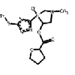 CCCSc1nnc([N+]2([O-])CN(C)CC2OC(=O)C2CCCO2)s1